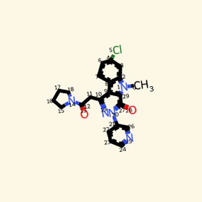 Cn1c2cc(Cl)ccc2c2c(CC(=O)N3CCCC3)nn(-c3cccnc3)c(=O)c21